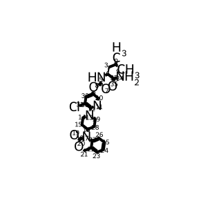 CC(C)C[C@H](NC(=O)Oc1cnc(N2CCC(N3C(=O)OCc4ccccc43)CC2)c(Cl)c1)C(N)=O